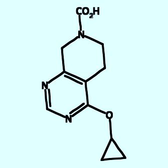 O=C(O)N1CCc2c(ncnc2OC2CC2)C1